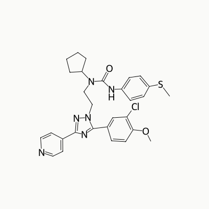 COc1ccc(-c2nc(-c3ccncc3)nn2CCN(C(=O)Nc2ccc(SC)cc2)C2CCCC2)cc1Cl